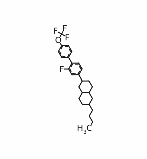 CCCCC1CCC2CC(c3ccc(-c4ccc(OC(F)(F)F)cc4)c(F)c3)CCC2C1